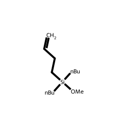 C=CCC[Si](CCCC)(CCCC)OC